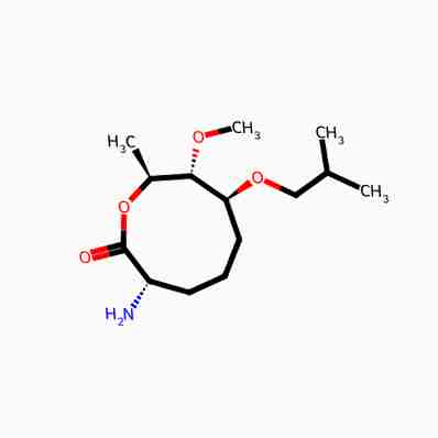 CO[C@H]1[C@H](C)OC(=O)[C@@H](N)CCC[C@@H]1OCC(C)C